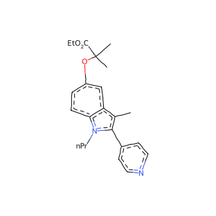 CCCn1c(-c2ccncc2)c(C)c2cc(OC(C)(C)C(=O)OCC)ccc21